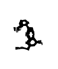 COCc1cc(N)c2ncc(-c3ncccc3C(F)(F)F)nc2n1